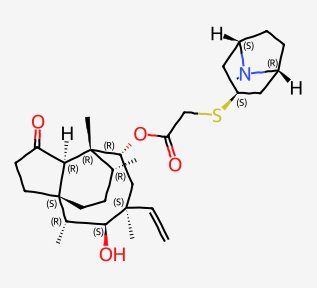 C=C[C@]1(C)C[C@@H](OC(=O)CS[C@@H]2C[C@H]3CC[C@@H](C2)N3C)[C@]2(C)[C@H](C)CC[C@]3(CCC(=O)[C@H]32)[C@@H](C)[C@@H]1O